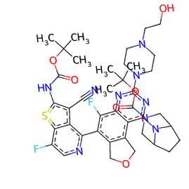 CC(C)(C)OC(=O)Nc1sc2c(F)cnc(-c3c4c(c5c(N6C7CCC6CN(C(=O)OC(C)(C)C)C7)nc(N6CCN(CCO)CC6)nc5c3F)COC4)c2c1C#N